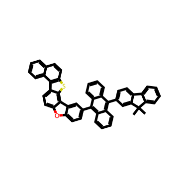 CC1(C)c2ccccc2-c2ccc(-c3c4ccccc4c(-c4ccc5oc6ccc7c(sc8ccc9ccccc9c87)c6c5c4)c4ccccc34)cc21